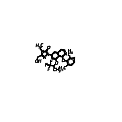 CCn1c(CO)nn(-c2cc(OC(C)C(F)(F)F)c3c(Oc4c(C)ccnc4C)nccc3c2)c1=O